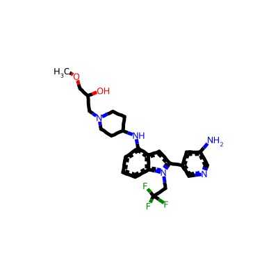 COCC(O)CN1CCC(Nc2cccc3c2cc(-c2cncc(N)c2)n3CC(F)(F)F)CC1